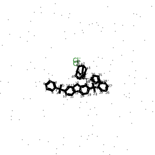 CC(C)(c1ccccc1)c1ccc2c(c1)Cc1c-2ccc(C(C)(C)c2ccccc2)[c]1[Ti+2]([C]1=CC=CC1)=[C]1C2CC3CC(C2)CC1C3.[Cl-].[Cl-]